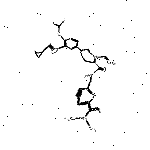 C=CN1CC(c2ccc(OC(F)F)c(OCC3CC3)c2)C[C@@H]1C(=O)NCc1cccc(C(=O)N(C)C)n1